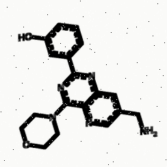 NCc1cnc2c(N3CCOCC3)nc(-c3cccc(O)c3)nc2c1